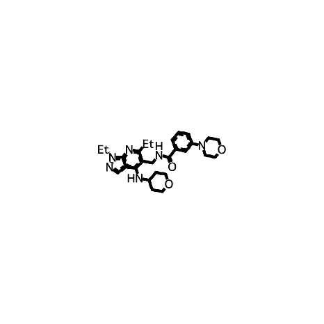 CCc1nc2c(cnn2CC)c(NC2CCOCC2)c1CNC(=O)c1cccc(N2CCOCC2)c1